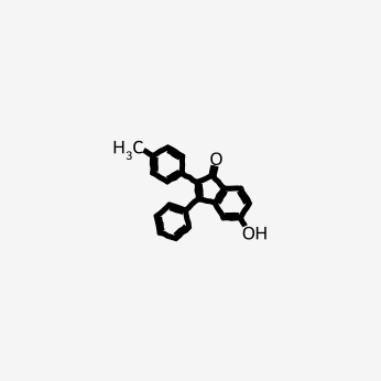 Cc1ccc(C2=C(c3ccccc3)c3cc(O)ccc3C2=O)cc1